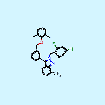 Cc1cccc(C)c1OCc1cccc(-c2c3cccc(C(F)(F)F)c3nn2Cc2ccc(Cl)cc2F)c1